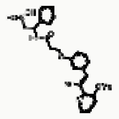 COc1cccnc1C(C#N)=Cc1cccc(OCCC(=O)N[C@@H](CB(O)O)c2ccccc2)c1